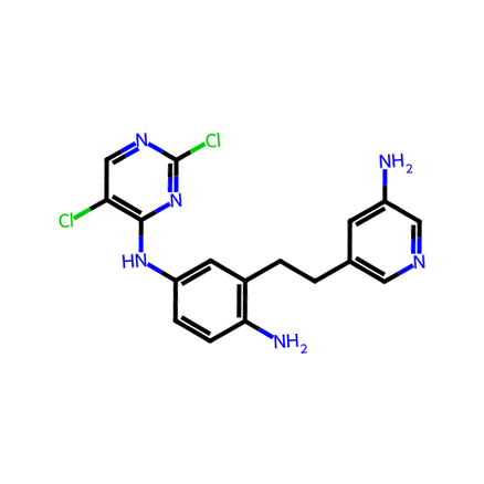 Nc1cncc(CCc2cc(Nc3nc(Cl)ncc3Cl)ccc2N)c1